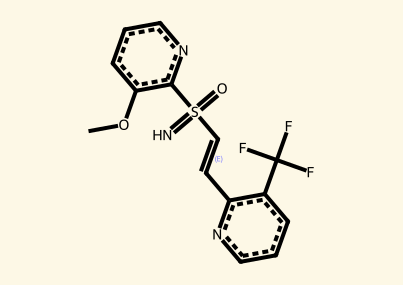 COc1cccnc1S(=N)(=O)/C=C/c1ncccc1C(F)(F)F